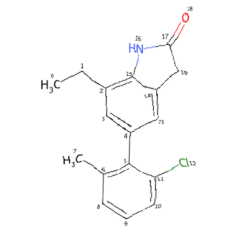 CCc1cc(-c2c(C)cccc2Cl)cc2c1NC(=O)C2